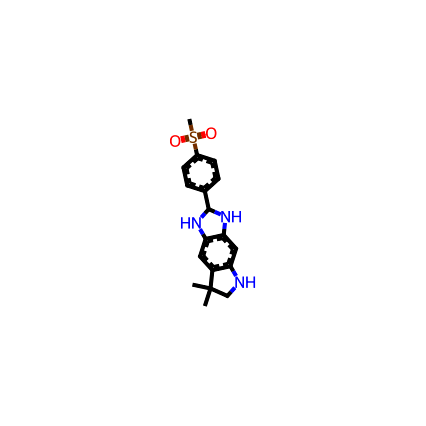 CC1(C)CNc2cc3c(cc21)NC(c1ccc(S(C)(=O)=O)cc1)N3